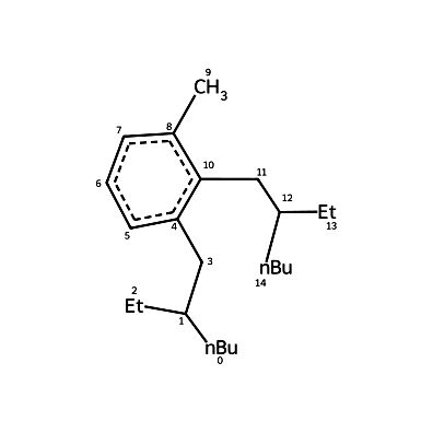 CCCCC(CC)Cc1cccc(C)c1CC(CC)CCCC